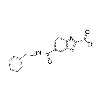 CCC(=O)c1nc2ccc(C(=O)NCCc3ccccc3)cc2s1